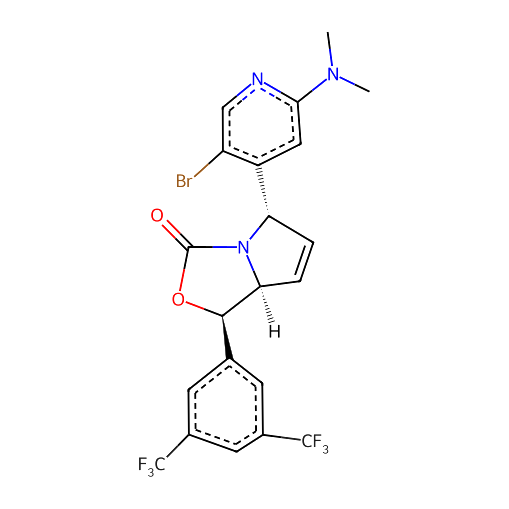 CN(C)c1cc([C@@H]2C=C[C@H]3[C@@H](c4cc(C(F)(F)F)cc(C(F)(F)F)c4)OC(=O)N23)c(Br)cn1